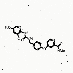 CNC(=O)c1cc(Oc2ccc(CNC(=O)Nc3ncc(C(F)(F)F)cc3Cl)cc2)ccn1